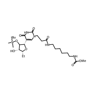 CC[C@H]1O[C@@H](c2cn(CCC(=O)NCCCCCCNC(=O)OC)c(=O)[nH]c2=O)C(O[Si](C)(C)C(C)(C)C)[C@H]1O